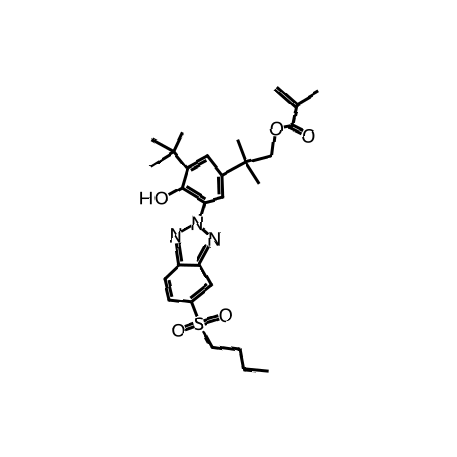 C=C(C)C(=O)OCC(C)(C)c1cc(-n2nc3ccc(S(=O)(=O)CCCC)cc3n2)c(O)c(C(C)(C)C)c1